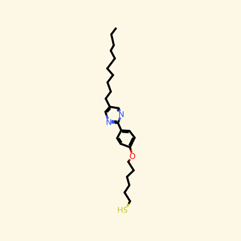 CCCCCCCCCCc1cnc(-c2ccc(OCCCCCCS)cc2)nc1